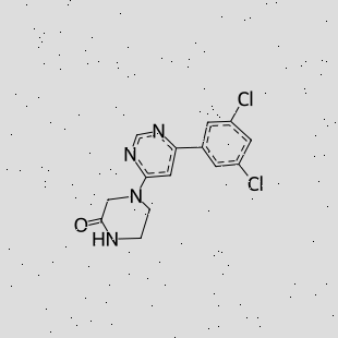 O=C1CN(c2cc(-c3cc(Cl)cc(Cl)c3)ncn2)CCN1